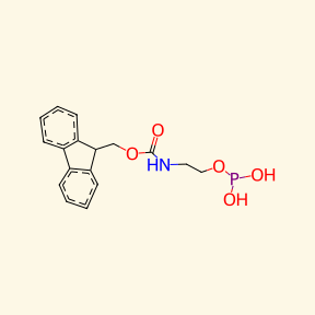 O=C(NCCOP(O)O)OCC1c2ccccc2-c2ccccc21